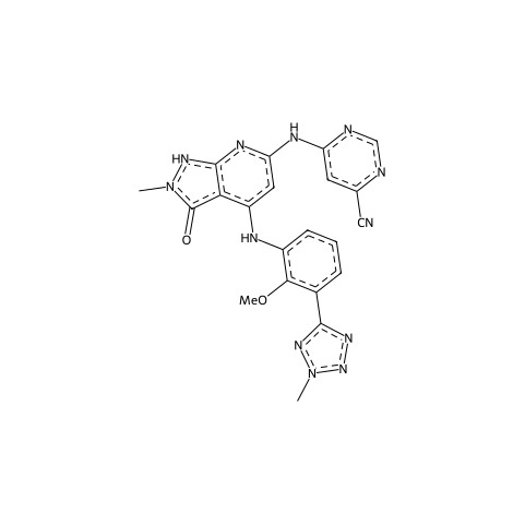 COc1c(Nc2cc(Nc3cc(C#N)ncn3)nc3[nH]n(C)c(=O)c23)cccc1-c1nnn(C)n1